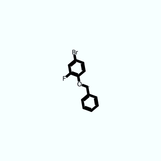 Fc1cc(Br)ccc1O[CH]c1ccccc1